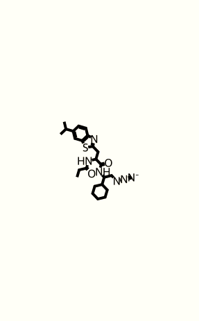 CCC(=O)NC(Cc1nc2ccc(C(C)C)cc2s1)C(=O)NC(CN=[N+]=[N-])C1CCCCC1